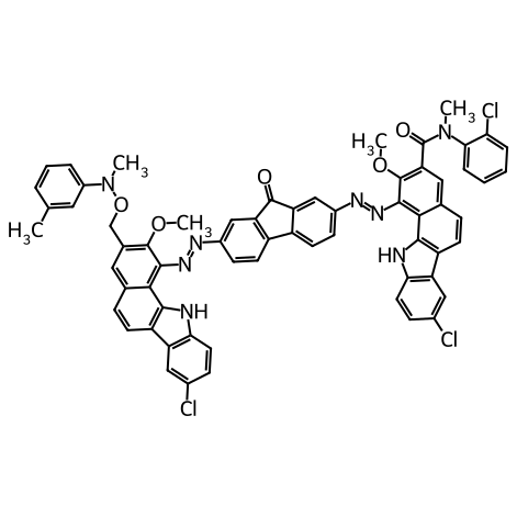 COc1c(CON(C)c2cccc(C)c2)cc2ccc3c4cc(Cl)ccc4[nH]c3c2c1N=Nc1ccc2c(c1)C(=O)c1cc(N=Nc3c(OC)c(C(=O)N(C)c4ccccc4Cl)cc4ccc5c6cc(Cl)ccc6[nH]c5c34)ccc1-2